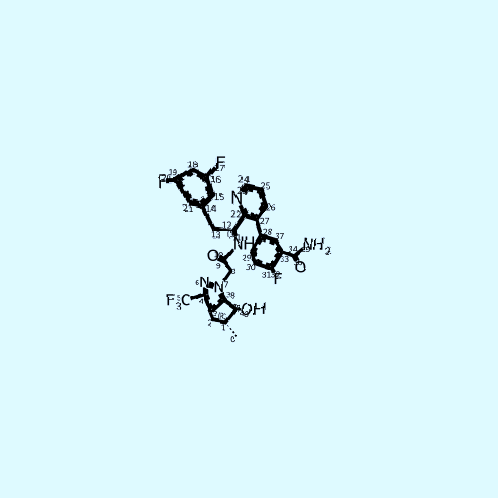 C[C@@H]1Cc2c(C(F)(F)F)nn(CC(=O)N[C@@H](Cc3cc(F)cc(F)c3)c3ncccc3-c3ccc(F)c(C(N)=O)c3)c2[C@H]1O